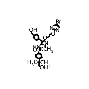 Cn1nc(OCCOc2ncc(Br)cn2)c(-c2ccc(CO)cc2)c1NS(=O)(=O)c1ccc(C(C)(C)CO)cc1